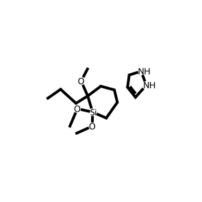 C1=CNNC1.CCCC1(OC)CCCC[Si]1(OC)OC